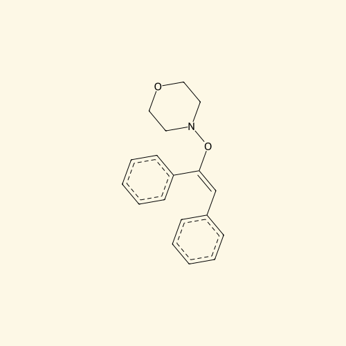 C(=C(ON1CCOCC1)c1ccccc1)c1ccccc1